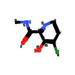 CNC(=O)c1nccc(Cl)c1O